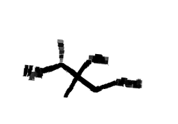 CCCCCCC(C)(CCCC)[C@@H](C)N